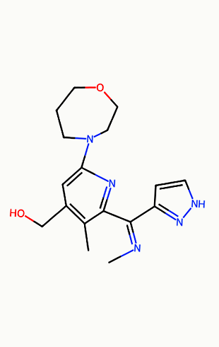 C/N=C(/c1cc[nH]n1)c1nc(N2CCCOCC2)cc(CO)c1C